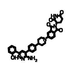 Nc1nnc(-c2ccccc2O)cc1-c1ccc(C2CCN(c3ccc4c(c3)C(=O)N(C3CCC(=O)NC3=O)C4=O)CC2)cc1